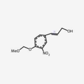 COCOc1ccc(/C=C/CO)cc1[N+](=O)[O-]